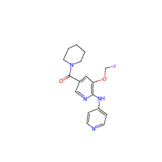 O=C(c1cnc(Nc2ccncc2)c(OCI)c1)N1CCCCC1